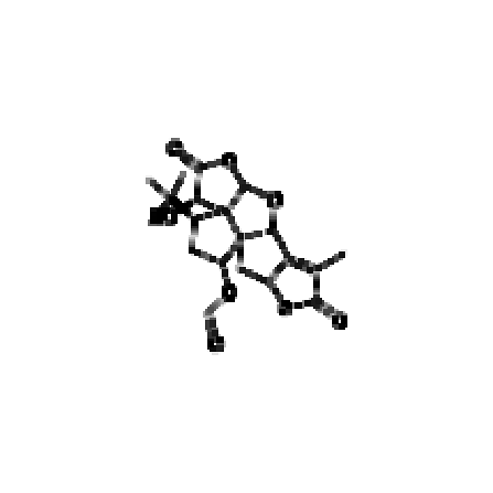 CC1=C2C(CC34C(OC=O)C[C@@H](C(C)(C)C)C35C(OC(=O)[C@@H]5O)OC24)OC1=O